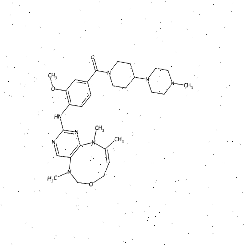 COc1cc(C(=O)N2CCC(N3CCN(C)CC3)CC2)ccc1Nc1ncc2c(n1)N(C)/C(C)=C\COCN2C